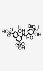 O=S(=O)(O)c1cc(O)c2c(NCC3=C(O)C(O)C(O)(Br)C(Br)=C3)cc(S(=O)(=O)O)cc2c1